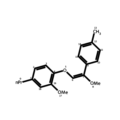 CCCc1ccc(OC=C(OC)c2ccc(C)cc2)c(OC)c1